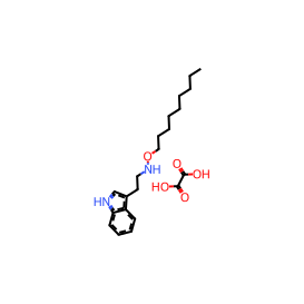 CCCCCCCCCONCCc1c[nH]c2ccccc12.O=C(O)C(=O)O